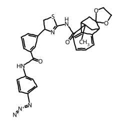 CC1(C(=O)NC2=NC(c3cccc(C(=O)Nc4ccc(N=[N+]=[N-])cc4)c3)CS2)CC2c3ccccc3C1CC21OCCO1